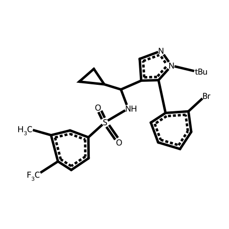 Cc1cc(S(=O)(=O)NC(c2cnn(C(C)(C)C)c2-c2ccccc2Br)C2CC2)ccc1C(F)(F)F